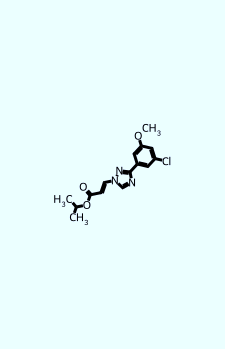 COc1cc(Cl)cc(-c2ncn(/C=C/C(=O)OC(C)C)n2)c1